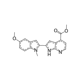 COC(=O)c1ccnc2[nH]c(-c3cc4cc(OC)ccc4n3C)cc12